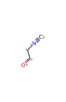 [C-]#[N+]CC=O